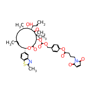 C=CC[C@H]1C(=O)C(C)(C)[C@@H](OC(=O)OCc2ccc(OC(=O)CCCN3C(=O)C=CC3=O)cc2)CC(=O)O[C@H](c2ccc3sc(C)nc3c2)C/C=C(/C)CCC[C@H](C)[C@@H]1O